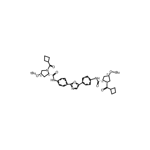 CC(C)(C)O[C@@H]1C[C@@H](C(=O)Nc2ccc(-c3cnc(-c4ccc(NC(=O)[C@@H]5C[C@@H](OC(C)(C)C)CN5C(=O)C5CCC5)cc4)o3)cc2)N(C(=O)C2CCC2)C1